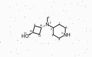 CN(C1CCNCC1)[C@H]1C[C@H](O)C1